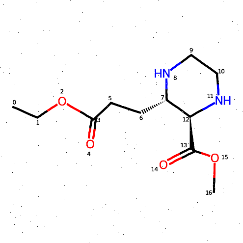 CCOC(=O)CC[C@@H]1NCCN[C@H]1C(=O)OC